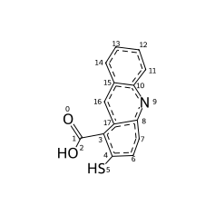 O=C(O)c1c(S)ccc2nc3ccccc3cc12